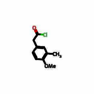 COc1ccc(CC(=O)Cl)cc1C